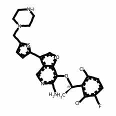 C[C@@H](Oc1c(N)ncc2c(-c3ccc(CN4CCNCC4)s3)coc12)c1c(Cl)ccc(F)c1Cl